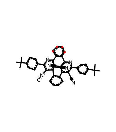 [C-]#[N+]c1c(-c2ccc(C(C)(C)C)cc2)nc(-c2ccccc2)c(C#N)c1-c1ccccc1-c1c(C#N)c(-c2ccccc2)nc(-c2ccc(C(C)(C)C)cc2)c1C#N